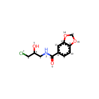 O=C(NCC(O)CCl)c1ccc2c(c1)OCO2